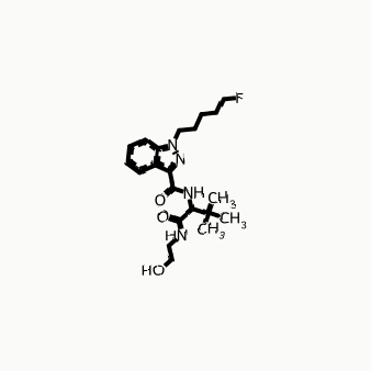 CC(C)(C)C(NC(=O)c1nn(CCCCCF)c2ccccc12)C(=O)NCCO